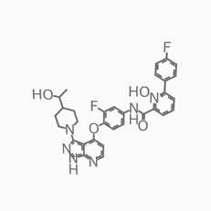 CC(O)C1CCN(c2n[nH]c3nccc(Oc4ccc(NC(=O)c5cccc(-c6ccc(F)cc6)[n+]5O)cc4F)c23)CC1